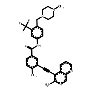 Cc1ccc(C(=O)Nc2ccc(CN3CCN(C)CC3)c(C(F)(F)F)c2)cc1C#Cc1c(N)ncc2ncccc12